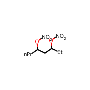 CCCC(CC(CC)O[N+](=O)[O-])O[N+](=O)[O-]